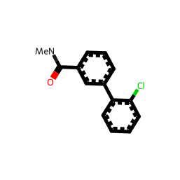 CNC(=O)c1cccc(-c2ccccc2Cl)c1